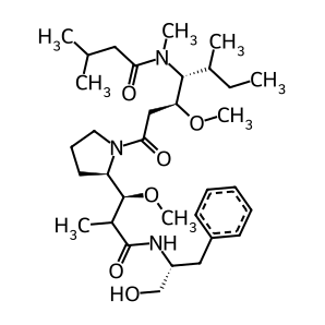 CCC(C)[C@H]([C@H](CC(=O)N1CCC[C@@H]1[C@@H](OC)C(C)C(=O)N[C@@H](CO)Cc1ccccc1)OC)N(C)C(=O)CC(C)C